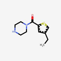 CCc1csc(C(=O)N2CCNCC2)c1